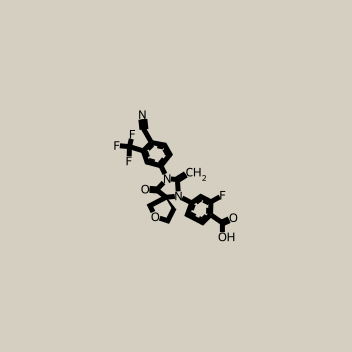 C=C1N(c2ccc(C#N)c(C(F)(F)F)c2)C(=O)[C@]2(CCOC2)N1c1ccc(C(=O)O)c(F)c1